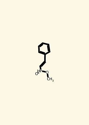 CO[PH](=O)C=Cc1ccccc1